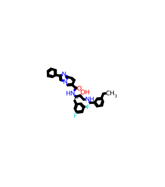 CCc1cccc(CNC[C@H](O)[C@H](Cc2cc(F)cc(F)c2)NC(=O)c2ccc3nc(-c4ccccc4)cn3c2)c1